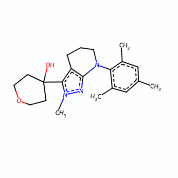 Cc1cc(C)c(N2CCCc3c2nn(C)c3C2(O)CCOCC2)c(C)c1